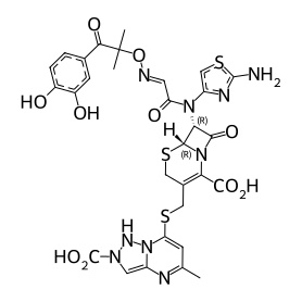 CC1=NC2=CN(C(=O)O)NN2C(SCC2=C(C(=O)O)N3C(=O)[C@@H](N(C(=O)C=NOC(C)(C)C(=O)c4ccc(O)c(O)c4)c4csc(N)n4)[C@H]3SC2)=C1